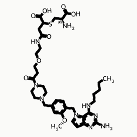 CCCCCNc1nc(N)nc2ccn(Cc3ccc(CN4CCN(C(=O)CCOCCNC(=O)CC(SC[C@H](N)C(=O)O)C(=O)O)CC4)cc3OC)c12